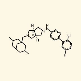 CC1CC2CC(C)CC(CN3C[C@H]4C[C@H](Nc5ccc(-c6cc(F)ccc6Cl)nn5)C[C@H]4C3)(C1)C2